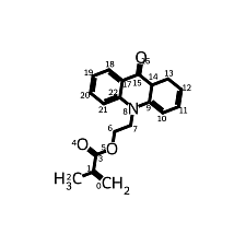 C=C(C)C(=O)OCCN1C2=CC=CCC2C(=O)c2ccccc21